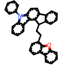 c1ccc(-n2c3ccccc3c3c4c(ccc32)-c2ccccc2C4CCc2cccc3c2oc2ccccc23)cc1